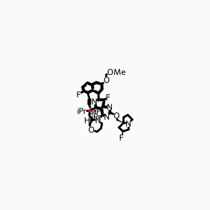 COCOc1cc(-c2nc3c4c(nc(OC[C@@]56CCCN5C[C@@H](F)C6)nc4c2F)N2CCCOC[C@@H]2CC3)c2c(C#C[Si](C(C)C)(C(C)C)C(C)C)c(F)ccc2c1